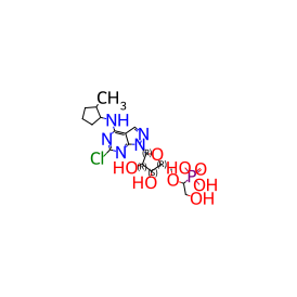 CC1CCCC1Nc1nc(Cl)nc2c1cnn2[C@@H]1O[C@H](COC(CO)P(=O)(O)O)[C@@H](O)[C@H]1O